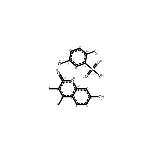 Cc1c(C)c2ccc(O)cc2oc1=O.O=S(=O)(O)c1cc(Cl)ccc1Cl